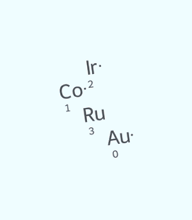 [Au].[Co].[Ir].[Ru]